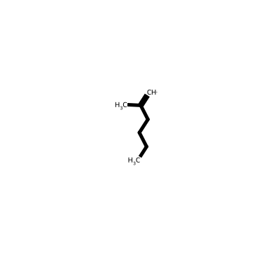 [CH]=C(C)CCCC